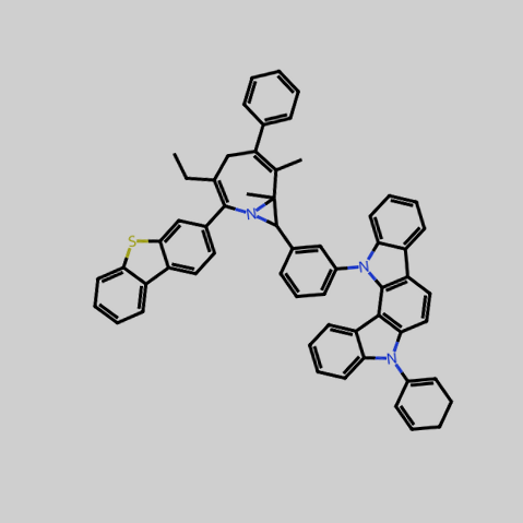 CCC1=C(c2ccc3c(c2)sc2ccccc23)N2C(c3cccc(-n4c5ccccc5c5ccc6c(c7ccccc7n6C6=CCCC=C6)c54)c3)C2(C)C(C)=C(c2ccccc2)C1